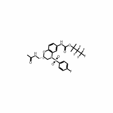 CC(=O)NC[C@H]1CN(S(=O)(=O)c2ccc(F)cc2)c2cc(NC(=O)OC(C)(C)C(F)(F)C(F)(F)F)ccc2O1